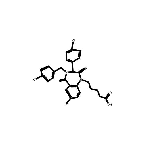 O=C(O)CCCCN1C(=O)C(c2ccc(Cl)cc2)N(Cc2ccc(Cl)cc2)C(=O)c2cc(I)ccc21